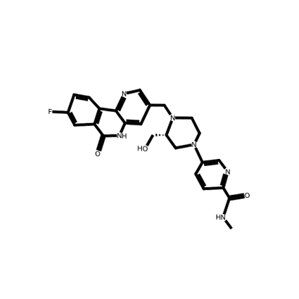 CNC(=O)c1ccc(N2CCN(Cc3cnc4c(c3)[nH]c(=O)c3cc(F)ccc34)[C@@H](CO)C2)cn1